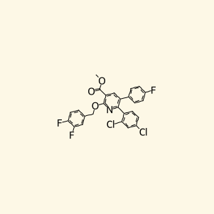 COC(=O)c1cc(-c2ccc(F)cc2)c(-c2ccc(Cl)cc2Cl)nc1OCc1ccc(F)c(F)c1